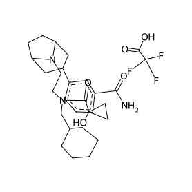 NC(=O)c1cccc(C2CC3CCC(C2)N3CCN(CC2CCCCC2)C(=O)C2(O)CC2)c1.O=C(O)C(F)(F)F